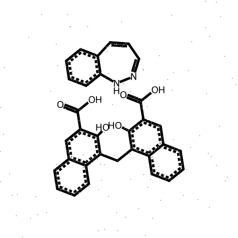 C1=Cc2ccccc2NN=C1.O=C(O)c1cc2ccccc2c(Cc2c(O)c(C(=O)O)cc3ccccc23)c1O